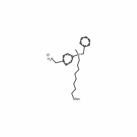 CCCCCCCCCCCCCCCCCC[N+](C)(Cc1ccccc1)c1ccc(CN)cc1.[Cl-]